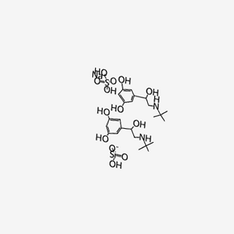 CC(C)(C)NCC(O)c1cc(O)cc(O)c1.CC(C)(C)NCC(O)c1cc(O)cc(O)c1.O=S(=O)(O)O.O=[Si]([O-])O.[Na+]